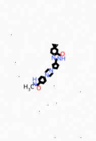 CNC(=O)c1ccc(N2CCN(C3C=C(c4nc5c(c(=O)[nH]4)CC4(CC5)CC4)CC3)CC2)cc1